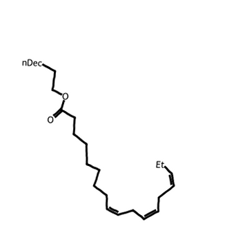 CC/C=C\C/C=C\C/C=C\CCCCCCCC(=O)OCCCCCCCCCCCC